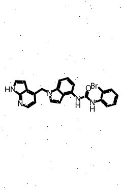 O=C(Nc1ccccc1Br)Nc1cccc2c1ccn2Cc1ccnc2[nH]ccc12